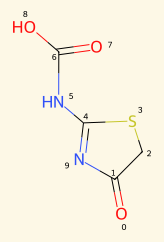 O=C1CSC(NC(=O)O)=N1